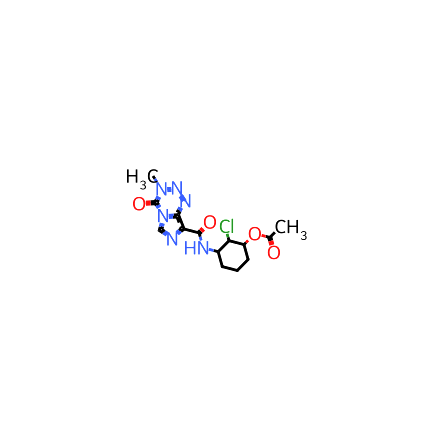 CC(=O)OC1CCCC(NC(=O)c2ncn3c(=O)n(C)nnc23)C1Cl